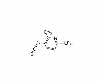 Cc1nc(C(F)(F)F)ccc1N=C=S